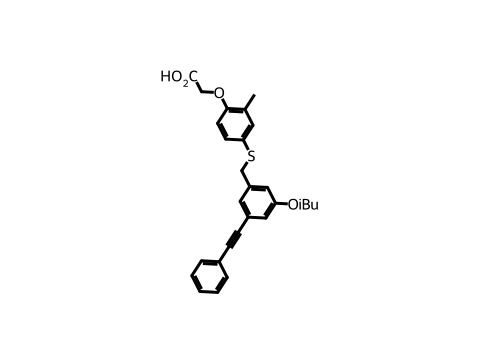 Cc1cc(SCc2cc(C#Cc3ccccc3)cc(OCC(C)C)c2)ccc1OCC(=O)O